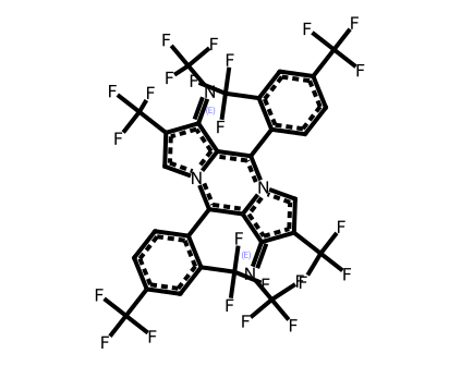 FC(F)(F)/N=c1\c(C(F)(F)F)cn2c(-c3ccc(C(F)(F)F)cc3C(F)(F)F)c3/c(=N/C(F)(F)F)c(C(F)(F)F)cn3c(-c3ccc(C(F)(F)F)cc3C(F)(F)F)c12